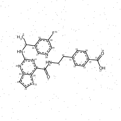 CC(Nc1nc(C(=O)NCCc2ccc(C(=O)O)cc2)c2sccc2n1)c1cncc(F)c1